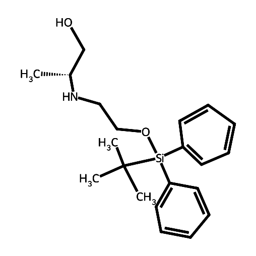 C[C@H](CO)NCCO[Si](c1ccccc1)(c1ccccc1)C(C)(C)C